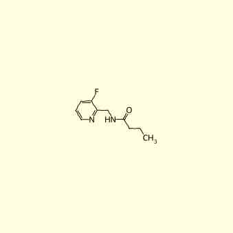 CCCC(=O)NCc1ncccc1F